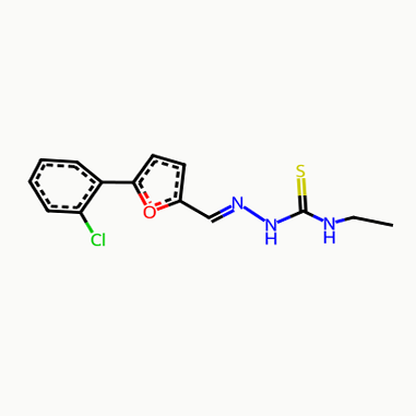 CCNC(=S)N/N=C/c1ccc(-c2ccccc2Cl)o1